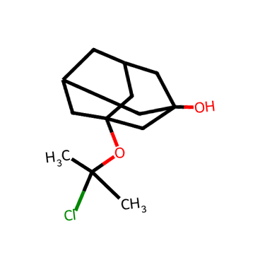 CC(C)(Cl)OC12CC3CC(CC(O)(C3)C1)C2